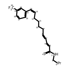 CC(C)CNC(=S)/C=C/C=C/CCCC/C=C\c1cccc(C(F)(F)F)c1